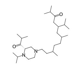 CC(CCC(C)CC(CC(=O)C(C)C)C(C)C)CCN1CCN(C(C)C)[C@H](C(=O)C(C)C)C1